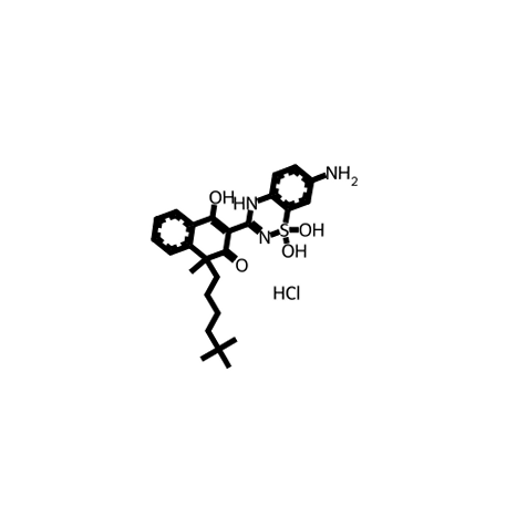 CC(C)(C)CCCCC1(C)C(=O)C(C2=NS(O)(O)c3cc(N)ccc3N2)=C(O)c2ccccc21.Cl